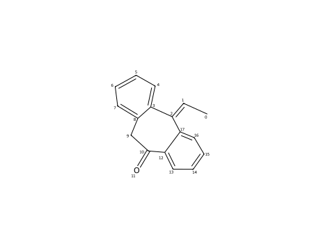 CC=C1c2ccccc2CC(=O)c2ccccc21